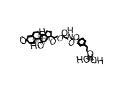 C[C@]12C[C@H](O)C3(F)[C@@H](CCC4=CC(=O)C=C[C@@]43C)C1CCC2C(=O)COC(=O)CNC(=O)Oc1ccc(CCON(O)O)cc1